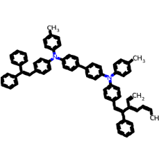 C=CC(=C\C=C/C)/C(=C\c1ccc(N(c2ccc(C)cc2)c2ccc(-c3ccc(N(c4ccc(C)cc4)c4ccc(C=C(c5ccccc5)c5ccccc5)cc4)cc3)cc2)cc1)c1ccccc1